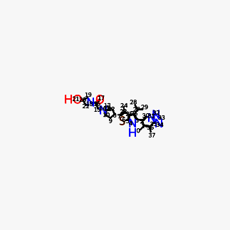 Cc1c(-c2[nH]c3sc([C@@H]4CC5CC4CN5CC(=O)N4CC(O)C4)c(C)c3c2C(C)C)cn2ncnc2c1C